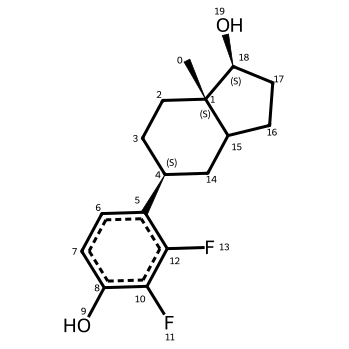 C[C@]12CC[C@H](c3ccc(O)c(F)c3F)CC1CC[C@@H]2O